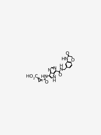 O=C1COc2ccc(CNC(=O)c3ncnc4c(NC(=O)[C@@H]5C[C@H]5C(=O)O)c[nH]c34)cc2N1